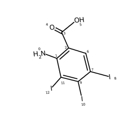 Nc1c(C(=O)O)cc(I)c(I)c1I